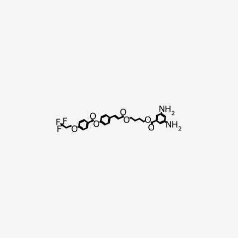 Nc1cc(N)cc(C(=O)OCCCCOC(=O)C=Cc2ccc(OC(=O)c3ccc(OCCC(F)(F)F)cc3)cc2)c1